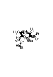 C=C(C)C(=O)NCCC.C=C(C)C(=O)NCCCC.CCNCC.CCNCC